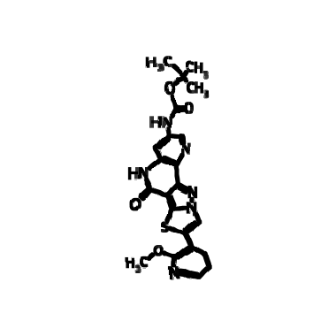 COC1=C(c2cn3nc4c5ncc(NC(=O)OC(C)(C)C)cc5[nH]c(=O)c4c3s2)CCC=N1